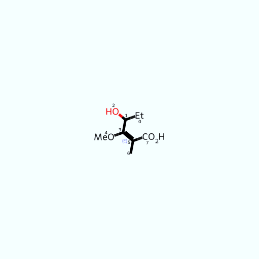 CCC(O)/C(OC)=C(/C)C(=O)O